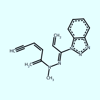 C#C/C=C\C(=C)N(C)/N=C(\C=C)n1nnc2ccccc21